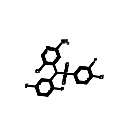 Nc1cc(C(c2cc(F)ccc2F)S(=O)(=O)c2ccc(Cl)c(F)c2)c(Cl)cn1